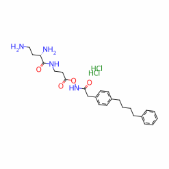 Cl.Cl.NCC[C@H](N)C(=O)NCCC(=O)ONC(=O)Cc1ccc(CCCCc2ccccc2)cc1